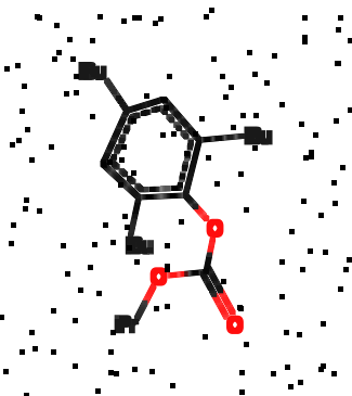 CCC(C)c1cc(C(C)CC)c(OC(=O)OC(C)C)c(C(C)CC)c1